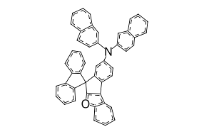 c1ccc2c(c1)-c1ccccc1C21c2cc(N(c3ccc4ccccc4c3)c3ccc4ccccc4c3)ccc2-c2c1oc1ccccc21